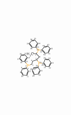 CC(CC(CCP(c1ccccc1)c1ccccc1)P(c1ccccc1)c1ccccc1)P(c1ccccc1)c1ccccc1